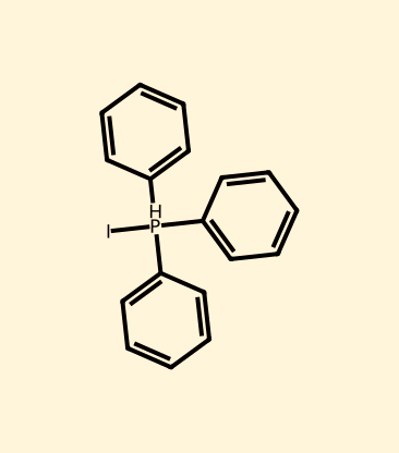 I[PH](c1ccccc1)(c1ccccc1)c1ccccc1